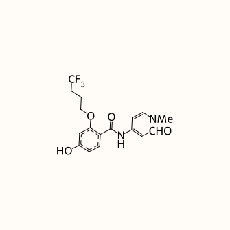 CN/C=C\C(=C/C=O)NC(=O)c1ccc(O)cc1OCCCC(F)(F)F